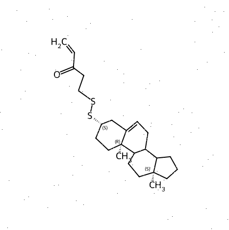 C=CC(=O)CCSS[C@H]1CC[C@@]2(C)C(=CCC3C4CCC[C@@]4(C)CCC32)C1